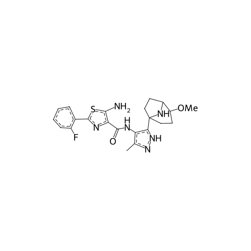 COC1CCC2(c3[nH]nc(C)c3NC(=O)c3nc(-c4ccccc4F)sc3N)CCC1N2